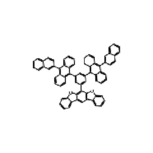 C1=Cc2c(c(-c3cc(-c4c5ccccc5c(-c5ccc6ccccc6c5)c5ccccc45)cc(-c4c5oc6ccccc6c5cc5c4oc4ccccc45)c3)c3ccccc3c2-c2ccc3ccccc3c2)CC1